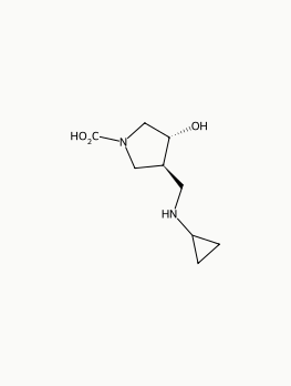 O=C(O)N1C[C@H](CNC2CC2)[C@@H](O)C1